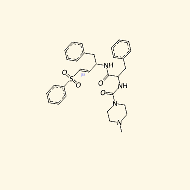 CN1CCN(C(=O)NC(Cc2ccccc2)C(=O)NC(/C=C/S(=O)(=O)c2ccccc2)Cc2ccccc2)CC1